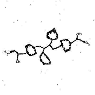 C=CC(O)c1ccc(CC(c2ccccc2)C(Cc2ccc(C(O)C=C)cc2)c2ccccc2)cc1